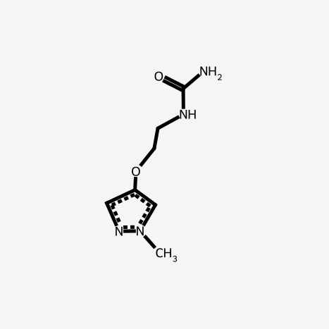 Cn1cc(OCCNC(N)=O)cn1